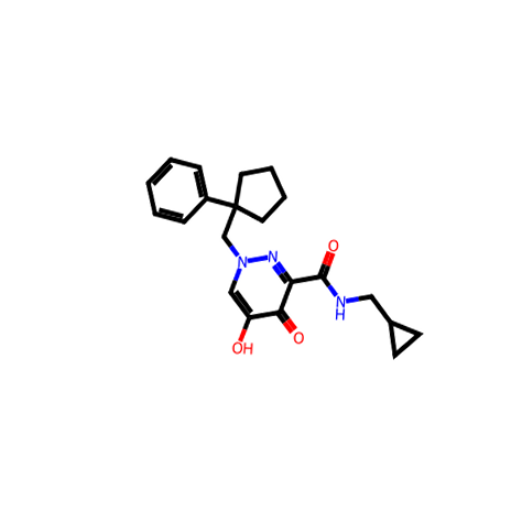 O=C(NCC1CC1)c1nn(CC2(c3ccccc3)CCCC2)cc(O)c1=O